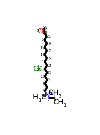 CCC[N+](C)(C)CCCCCCCCCCCCCCCCC1CO1.[Cl-]